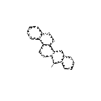 Cc1c2ccccc2cc2c1ccc1c3ccccc3ccc21